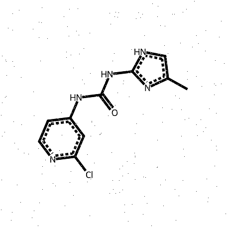 Cc1c[nH]c(NC(=O)Nc2ccnc(Cl)c2)n1